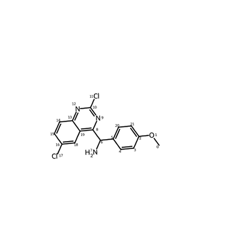 COc1ccc(C(N)c2nc(Cl)nc3ccc(Cl)cc23)cc1